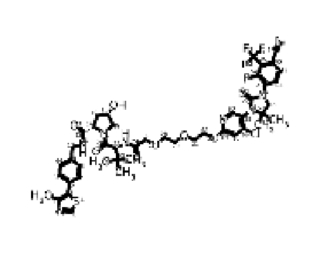 Cc1ncsc1-c1ccc(CNC(=O)[C@@H]2C[C@@H](O)CN2C(=O)[C@@H](NC(=O)COCCOCCOc2cc(Cl)c(N3C(=S)N(c4ccc(C#N)c(C(F)(F)F)c4F)CC3(C)C)cn2)C(C)(C)C)cc1